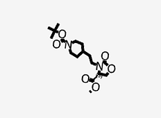 COC(=O)[C@@H]1COC(=O)N1CCC1CCN(C(=O)OC(C)(C)C)CC1